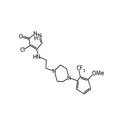 COc1cccc(N2CCN(CCNc3cn[nH]c(=O)c3Cl)CC2)c1C(F)(F)F